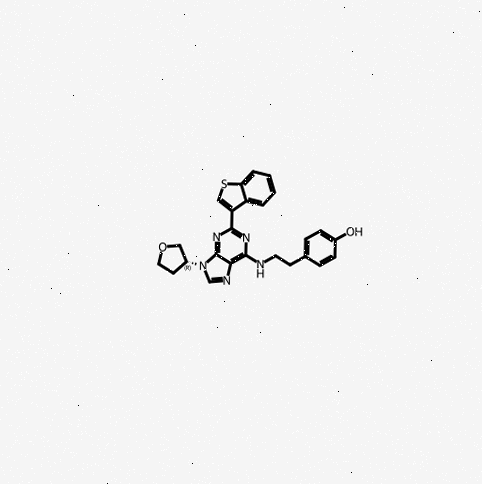 Oc1ccc(CCNc2nc(-c3csc4ccccc34)nc3c2ncn3[C@@H]2CCOC2)cc1